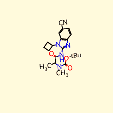 CC(C(=O)Nc1nc2ccc(C#N)cc2n1C1CCC1)N(C)C(=O)OC(C)(C)C